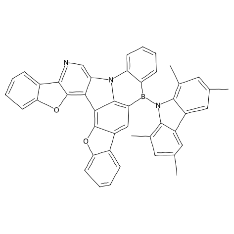 Cc1cc(C)c2c(c1)c1cc(C)cc(C)c1n2B1c2ccccc2-n2c3cnc4c5ccccc5oc4c3c3c4oc5ccccc5c4cc1c32